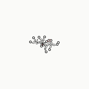 O=P(OCc1ccccc1)(OCC(OCc1ccccc1)C(OCc1ccccc1)C(CO[C@@H]1O[C@H](COCc2ccccc2)C(OCc2ccccc2)C1F)OCc1ccccc1)OC1C(F)[C@H](OCC(OCc2ccccc2)C(OCc2ccccc2)C(COCc2ccc3ccccc3c2)OCc2ccccc2)O[C@@H]1COCc1ccccc1